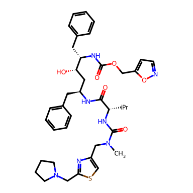 CC(C)[C@H](NC(=O)N(C)Cc1csc(CN2CCCC2)n1)C(=O)N[C@@H](Cc1ccccc1)C[C@H](O)[C@H](Cc1ccccc1)NC(=O)OCc1ccno1